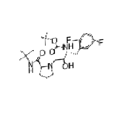 CC(C)(C)NC(=O)[C@@H]1CCCN1C[C@H](O)[C@@H](Cc1cc(F)ccc1F)NC(=O)OC(C)(C)C